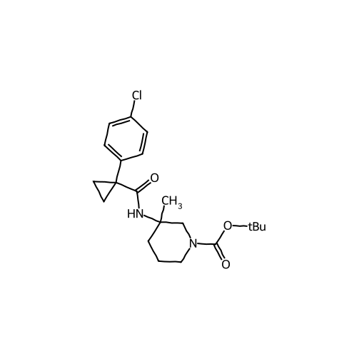 CC1(NC(=O)C2(c3ccc(Cl)cc3)CC2)CCCN(C(=O)OC(C)(C)C)C1